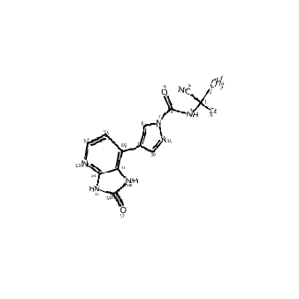 CCC(C)(C#N)NC(=O)n1cc(-c2ccnc3[nH]c(=O)[nH]c23)cn1